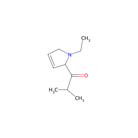 CCN1CC=CC1C(=O)C(C)C